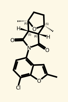 Cc1cc2c(N3C(=O)[C@@H]4[C@H](C3=O)[C@@]3(C)CC[C@]4(C)O3)ccc(Cl)c2o1